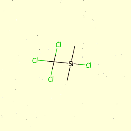 C[Si](C)(Cl)C(Cl)(Cl)Cl